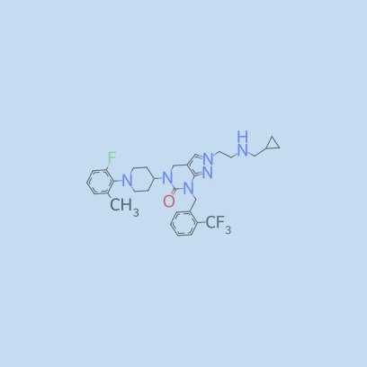 Cc1cccc(F)c1N1CCC(N2Cc3cn(CCNCC4CC4)nc3N(Cc3ccccc3C(F)(F)F)C2=O)CC1